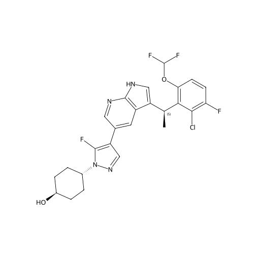 C[C@H](c1c(OC(F)F)ccc(F)c1Cl)c1c[nH]c2ncc(-c3cnn([C@H]4CC[C@H](O)CC4)c3F)cc12